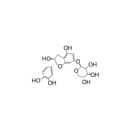 Oc1ccc([C@H]2Oc3cc(O[C@@H]4OC[C@@H](O)[C@H](O)C4O)cc(O)c3C[C@@H]2O)cc1O